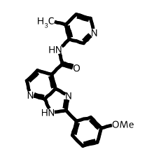 COc1cccc(-c2nc3c(C(=O)Nc4cnccc4C)ccnc3[nH]2)c1